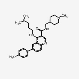 Cc1ccc(-c2ccc3ncc(C(=O)NCC4CCN(C)CC4)c(NCCCN(C)C)c3c2)cc1